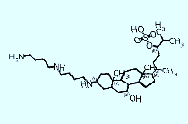 CC(CC[C@@H](OS(=O)(=O)O)C(C)C)[C@H]1CCC2C3C(CC[C@@]21C)[C@@]1(C)CC[C@H](NCCCCNCCCCN)CC1C[C@H]3O